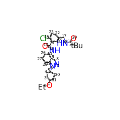 CCOc1ccc(-n2ncc3c(NC(=O)c4cc(CNC(=O)C(C)(C)C)ccc4Cl)cccc32)cc1